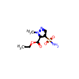 CCOC(=O)c1c(S(N)(=O)=O)cnn1C